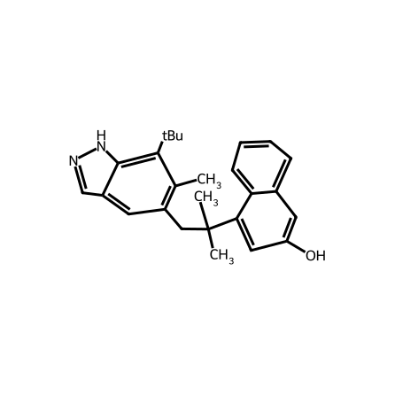 Cc1c(CC(C)(C)c2cc(O)cc3ccccc23)cc2cn[nH]c2c1C(C)(C)C